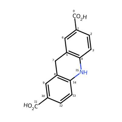 O=C(O)c1ccc2c(c1)Cc1cc(C(=O)O)ccc1N2